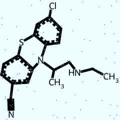 CCNCC(C)N1c2ccc(Cl)cc2Sc2ccc(C#N)cc21